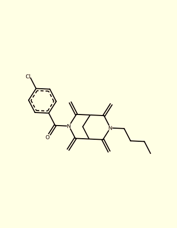 C=C1C2CC(C(=C)N1CCCC)C(=C)N(C(=O)c1ccc(Cl)cc1)C2=C